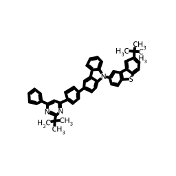 CC(C)(C)c1ccc2sc3ccc(-n4c5ccccc5c5cc(-c6ccc(-c7cc(-c8ccccc8)nc(C(C)(C)C)n7)cc6)ccc54)cc3c2c1